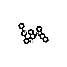 c1ccc(-c2ccc(-c3cccc4oc5cc(-n6c7ccccc7c7cc8ccccc8cc76)c6ccccc6c5c34)cn2)cc1